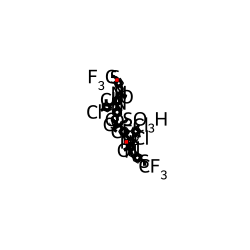 O=c1c2nn(-c3ccc(OS(=O)(=O)C(CC(F)(F)F)C(CCS(=O)(=O)O)c4ccc(-n5nc6c(=O)n(Cc7ccc(SC(F)(F)F)cc7)nc-6cc5-c5ccc(Cl)cc5Cl)cc4)cc3)c(-c3ccc(Cl)cc3Cl)cc-2nn1Cc1ccc(SC(F)(F)F)cc1